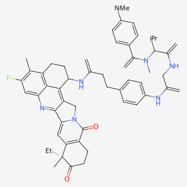 C=C(CNC(=C)C(C(C)C)N(C)C(=C)c1ccc(NC)cc1)Nc1ccc(CCC(=C)NC2CCc3c(C)c(F)cc4nc5c(c2c34)Cn2c-5cc3c(c2=O)CCC(=O)[C@]3(C)CC)cc1